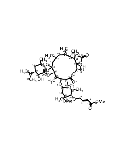 CC[C@H]1OC(=O)[C@H](C)[C@@H](OC2C[C@@](C)(OC)[C@@H](OCC=CC(=O)OC)[C@H](C)O2)[C@H](C)[C@@H](O[C@@H]2O[C@H](C)C[C@H](N(C)C)[C@H]2O)[C@](C)(O)C[C@@H](C)CN(C)[C@H](C)[C@@H]2OC(=O)O[C@]12C